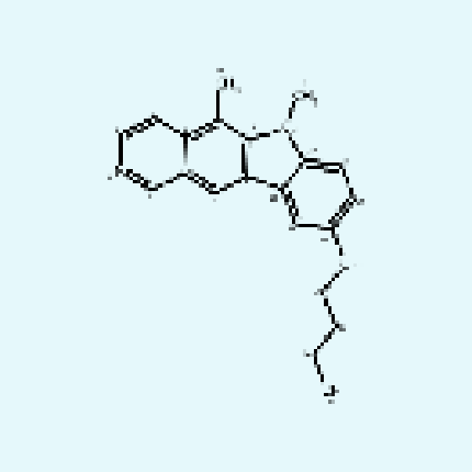 Cc1c2ccncc2cc2c3cc(OCCCC#N)ccc3n(C)c12